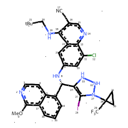 COc1nccc2c([C@H](Nc3cc(Cl)c4ncc(C#N)c(NCC(C)(C)C)c4c3)C3=C(I)N(C4(C(F)(F)F)CC4)NN3)cccc12